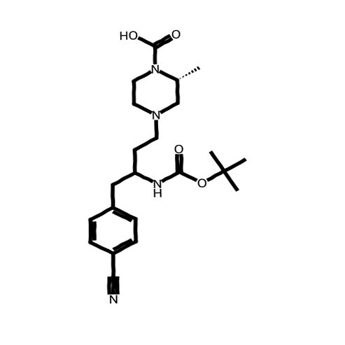 C[C@@H]1CN(CCC(Cc2ccc(C#N)cc2)NC(=O)OC(C)(C)C)CCN1C(=O)O